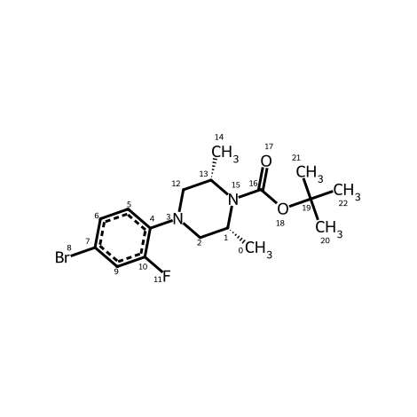 C[C@@H]1CN(c2ccc(Br)cc2F)C[C@H](C)N1C(=O)OC(C)(C)C